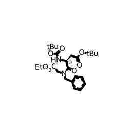 CCOC(=O)CN(Cc1ccccc1)C(=O)[C@H](CC(=O)OC(C)(C)C)NC(=O)OC(C)(C)C